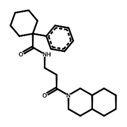 O=C(CCNC(=O)C1(c2ccccc2)CCCCC1)N1CCC2CCCCC2C1